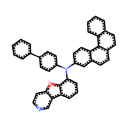 c1ccc(-c2ccc(N(c3ccc4c(ccc5ccc6ccccc6c54)c3)c3cccc4c3oc3ccncc34)cc2)cc1